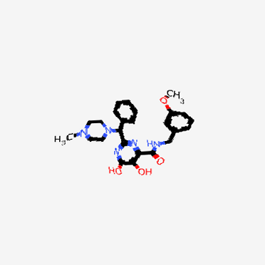 COc1cccc(CNC(=O)c2nc(C(c3ccccc3)N3CCN(C)CC3)nc(O)c2O)c1